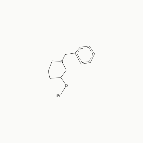 CC(C)OC1CCCN(Cc2ccccc2)C1